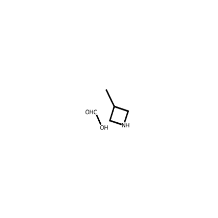 CC1CNC1.O=CO